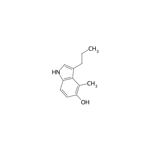 CCCc1c[nH]c2ccc(O)c(C)c12